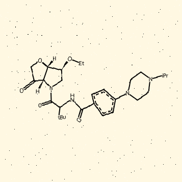 CCO[C@H]1CN(C(=O)C(NC(=O)c2ccc(N3CCN(C(C)C)CC3)cc2)C(C)(C)C)[C@@H]2C(=O)CO[C@H]12